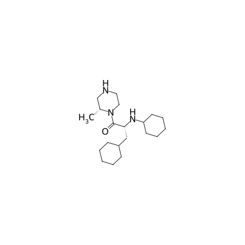 C[C@@H]1CNCCN1C(=O)[C@@H](CC1CCCCC1)NC1CCCCC1